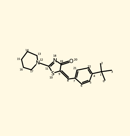 CC(C)(C)c1ccc(C=C2SC(N3CCCCC3)=NC2=O)cc1